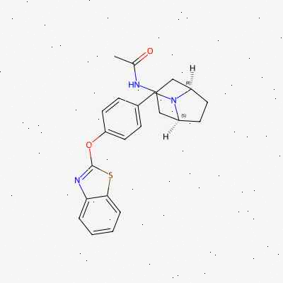 CC(=O)NC1C[C@H]2CC[C@@H](C1)N2Cc1ccc(Oc2nc3ccccc3s2)cc1